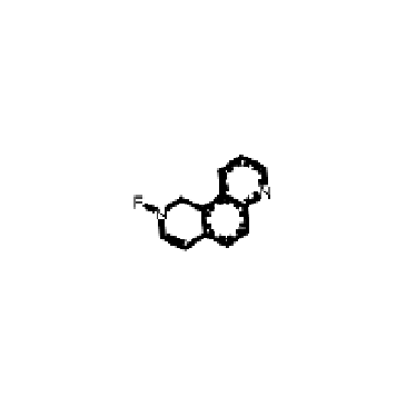 FN1C=Cc2ccc3ncccc3c2C1